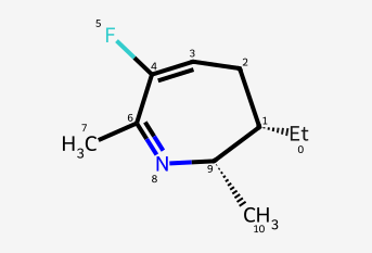 CC[C@H]1CC=C(F)C(C)=N[C@H]1C